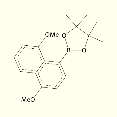 COc1ccc(B2OC(C)(C)C(C)(C)O2)c2c(OC)cccc12